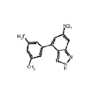 Cc1cc(C)cc(-c2cc([N+](=O)[O-])cc3n[nH]nc23)c1